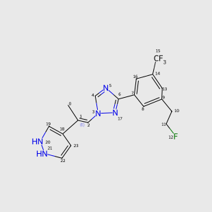 C/C(=C\n1cnc(-c2cc(CCF)cc(C(F)(F)F)c2)n1)C1=CNNC=C1